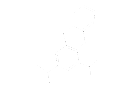 CC(C)c1cc2c(c(C(C)C)c1)Sc1ccccc1C2